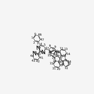 c1ccc(-c2cc(-c3ccc(-c4cccc5c4C4(c6ccccc6-c6ccccc64)c4ccccc4-5)cc3)nc(-c3ccccn3)n2)cc1